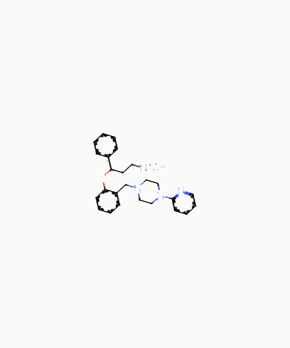 CNCCC(Oc1ccccc1CN1CCN(c2ccccn2)CC1)c1ccccc1